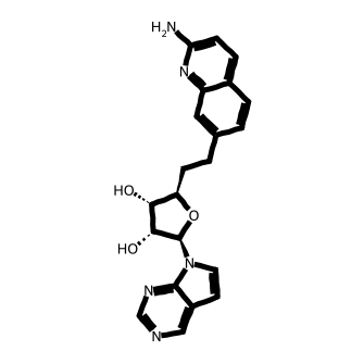 Nc1ccc2ccc(CC[C@H]3O[C@@H](n4ccc5cncnc54)[C@H](O)[C@@H]3O)cc2n1